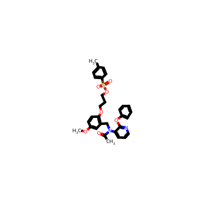 COc1ccc(OCCCOS(=O)(=O)c2ccc(C)cc2)c(CN(C(C)=O)c2cccnc2Oc2ccccc2)c1